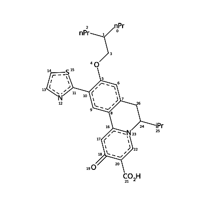 CCCC(CCC)COc1cc2c(cc1-c1nccs1)-c1cc(=O)c(C(=O)O)cn1C(C(C)C)C2